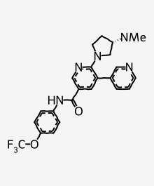 CN[C@H]1CCN(c2ncc(C(=O)Nc3ccc(OC(F)(F)F)cc3)cc2-c2cccnc2)C1